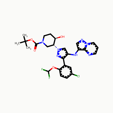 CC(C)(C)OC(=O)N1CC[C@@H](O)[C@H](n2cc(Nc3cnn4cccnc34)c(-c3cc(Cl)ccc3OC(F)F)n2)C1